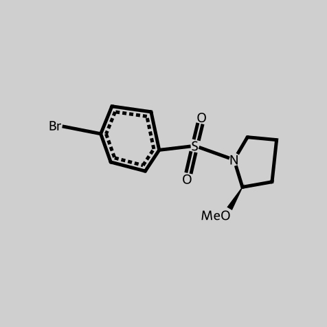 CO[C@@H]1CCCN1S(=O)(=O)c1ccc(Br)cc1